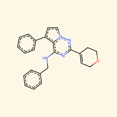 C1=C(c2nc(NCc3ccccc3)c3c(-c4ccccc4)ccn3n2)CCOC1